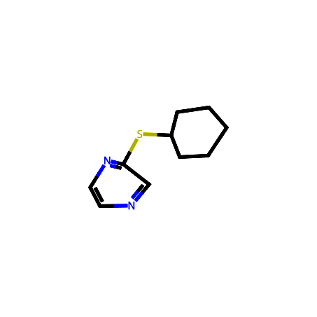 c1cnc(SC2CCCCC2)cn1